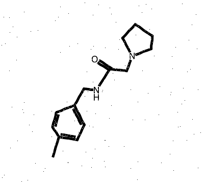 Cc1ccc(CNC(=O)CN2CCCC2)cc1